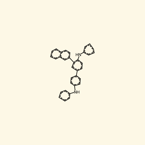 c1ccc(Nc2ccc(-c3ccc(Nc4ccccc4)c(-c4ccc5ccccc5c4)c3)cc2)cc1